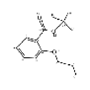 CCCOc1ccccc1C(=O)OC(C)(C)C